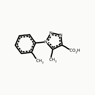 Cc1ccccc1-n1nnc(C(=O)O)c1C